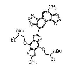 CCCCC(CC)COc1c2cc(-c3cc4c(cc(C)c5nsnc54)c4nsnc34)sc2c(OCC(CC)CCCC)c2cc(C)sc12